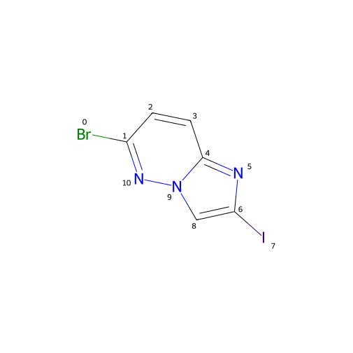 Brc1ccc2nc(I)cn2n1